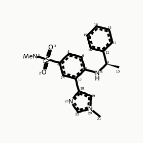 CNS(=O)(=O)c1ccc(N[C@H](C)c2ccccc2)c(-c2cn(C)cn2)c1